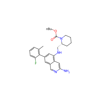 CCCCOC(=O)N1CCCC[C@@H]1CNc1cc(-c2c(C)cccc2F)cc2cnc(N)cc12